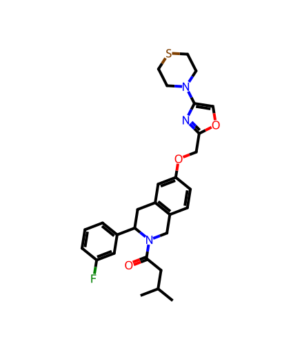 CC(C)CC(=O)N1Cc2ccc(OCc3nc(N4CCSCC4)co3)cc2CC1c1cccc(F)c1